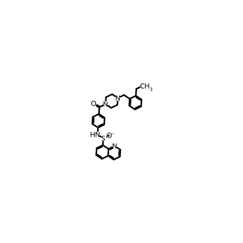 CCc1ccccc1CN1CCN(C(=O)c2ccc(N[S+]([O-])c3cccc4cccnc34)cc2)CC1